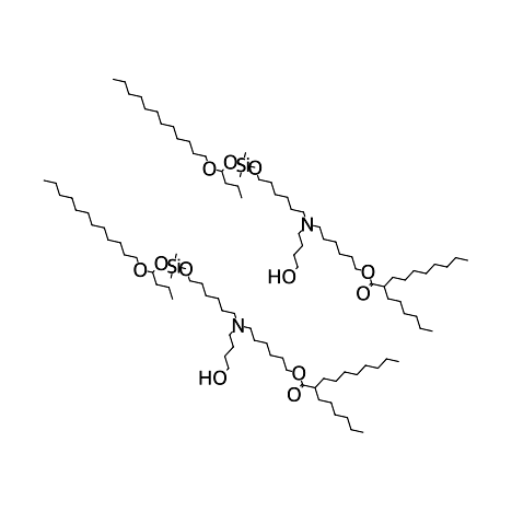 CCCCCCCCCCCCOC(CCC)O[Si](C)(C)OCCCCCCN(CCCCO)CCCCCCOC(=O)C(CCCCCC)CCCCCCCC.CCCCCCCCCCCCOC(CCC)O[Si](C)(C)OCCCCCCN(CCCCO)CCCCCCOC(=O)C(CCCCCC)CCCCCCCC